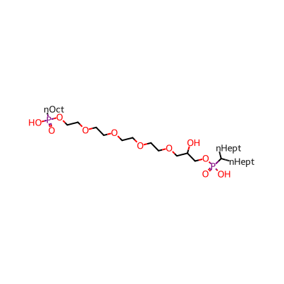 CCCCCCCCP(=O)(O)OCCOCCOCCOCCOCC(O)COP(=O)(O)C(CCCCCCC)CCCCCCC